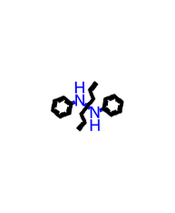 C=CCC(CC=C)(Nc1ccccc1)Nc1ccccc1